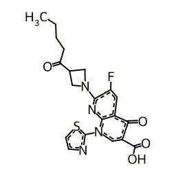 CCCCC(=O)C1CN(c2nc3c(cc2F)c(=O)c(C(=O)O)cn3-c2nccs2)C1